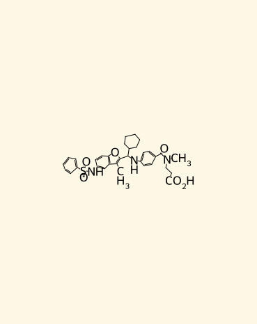 Cc1c(C(Nc2ccc(C(=O)N(C)CCC(=O)O)cc2)C2CCCCC2)oc2ccc(NS(=O)(=O)c3ccccc3)cc12